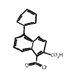 O=C(O)c1ccc2c(-c3ccccc3)cccc2c1I(=O)=O